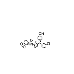 OC1CCN(C(c2cccc(Cl)c2)c2cnc(NC3(c4ccc5c(c4)OCO5)CC3)s2)CC1